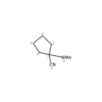 CNC1(C#N)CCCC1